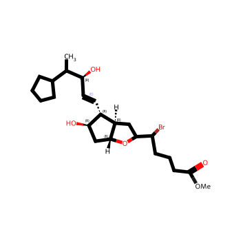 COC(=O)CCCC(Br)C1C[C@@H]2[C@@H](/C=C/[C@H](O)C(C)C3CCCC3)[C@H](O)C[C@H]2O1